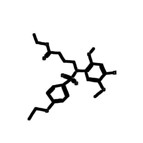 CCOC(=O)CCCN(c1cc(OC)c(Cl)cc1OC)S(=O)(=O)c1ccc(OCC)cc1